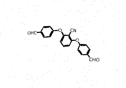 N#Cc1c(Oc2ccc(C=O)cc2)cccc1Oc1ccc(C=O)cc1